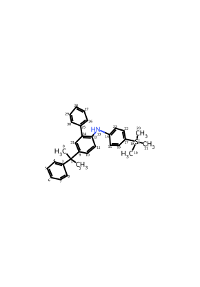 CC(C)(c1ccccc1)c1ccc(Nc2ccc([Si](C)(C)C)cc2)c(-c2ccccc2)c1